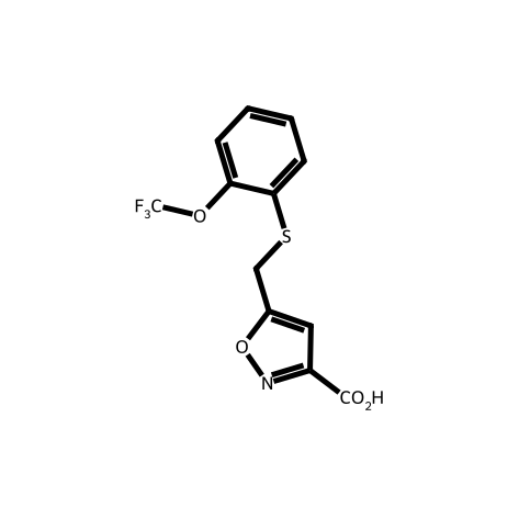 O=C(O)c1cc(CSc2ccccc2OC(F)(F)F)on1